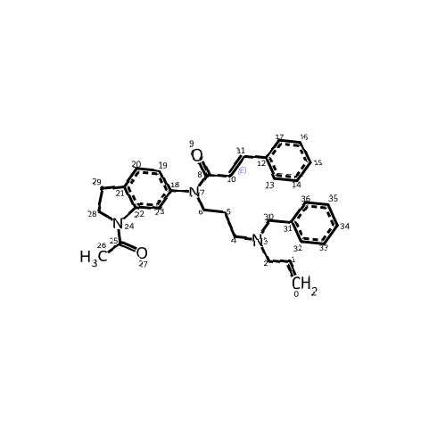 C=CCN(CCCN(C(=O)/C=C/c1ccccc1)c1ccc2c(c1)N(C(C)=O)CC2)Cc1ccccc1